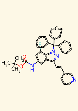 CC(C)(C)OC(=O)Nc1cc(F)c2c(c1)c(C=Cc1cccnc1)nn2C(c1ccccc1)(c1ccccc1)c1ccccc1